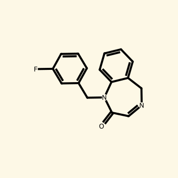 O=C1C=NCc2ccccc2N1Cc1cccc(F)c1